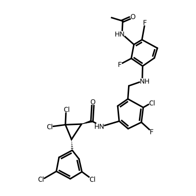 CC(=O)Nc1c(F)ccc(NCc2cc(NC(=O)[C@H]3[C@H](c4cc(Cl)cc(Cl)c4)C3(Cl)Cl)cc(F)c2Cl)c1F